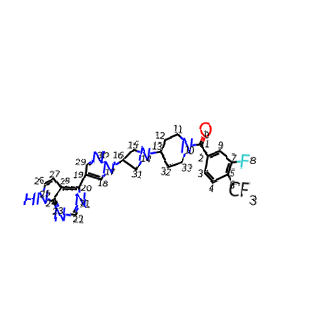 O=C(c1ccc(C(F)(F)F)c(F)c1)N1CCC(N2CC(n3cc(-c4ncnc5[nH]ccc45)cn3)C2)CC1